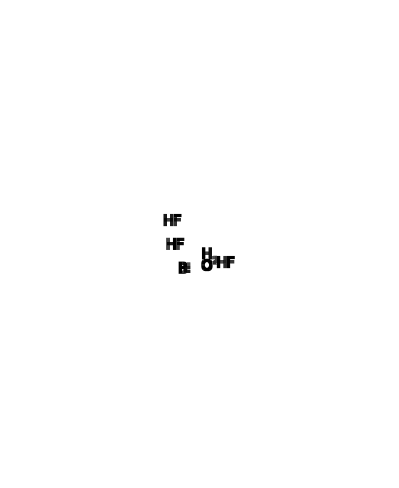 F.F.F.O.[B]